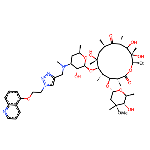 CC[C@H]1OC(=O)[C@H](C)[C@@H](O[C@H]2C[C@@](C)(OC)[C@@H](O)[C@H](C)O2)[C@H](C)[C@@H](O[C@@H]2O[C@H](C)C[C@H](N(C)Cc3cn(CCOc4cccc5ncccc45)nn3)[C@H]2O)[C@](C)(O)C[C@@H](C)C(=O)[C@H](C)[C@@H](O)[C@]1(C)O